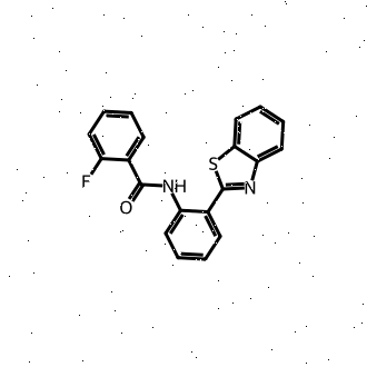 O=C(Nc1ccccc1-c1nc2ccccc2s1)c1ccccc1F